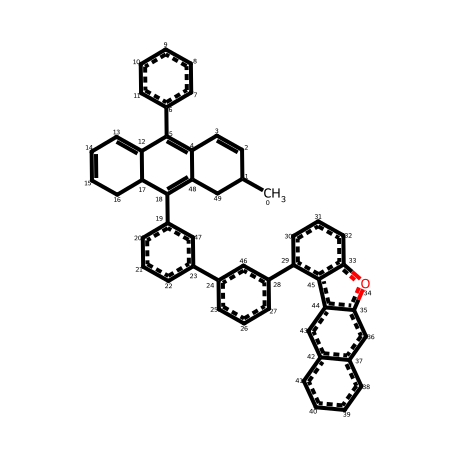 CC1C=CC2=C(c3ccccc3)C3=CC=CCC3C(c3cccc(-c4cccc(-c5cccc6oc7cc8ccccc8cc7c56)c4)c3)=C2C1